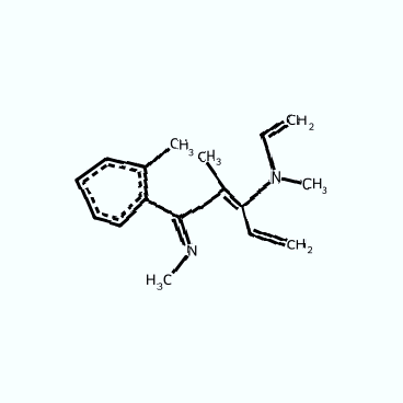 C=C/C(=C(C)\C(=N\C)c1ccccc1C)N(C)C=C